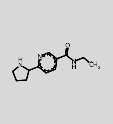 CCNC(=O)c1ccc(C2CCCN2)nc1